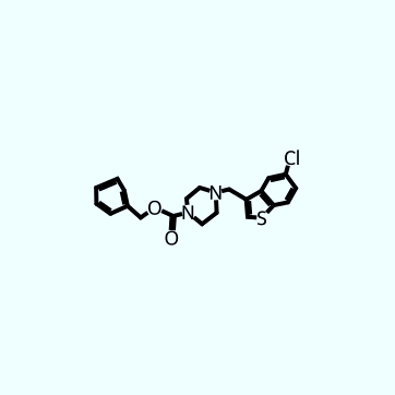 O=C(OCc1ccccc1)N1CCN(Cc2csc3ccc(Cl)cc23)CC1